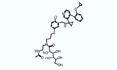 CC(=O)NCCN(CCCSc1ccc(Cl)c(CNC2(c3cnccc3-c3ccccc3OC3CC3)CC2)c1)C(=O)[C@@H](O)[C@@H](O)[C@H](O)[C@@H](O)CO